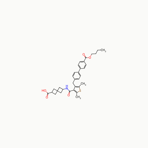 CCCCOC(=O)c1ccc(-c2ccc(Cc3c(C)sc(C)c3C(=O)NC3CC4(C3)CC(C(=O)O)C4)cc2)cc1